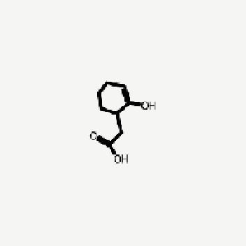 O=C(O)CC1CCCC=C1O